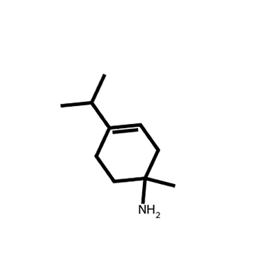 CC(C)C1=CCC(C)(N)CC1